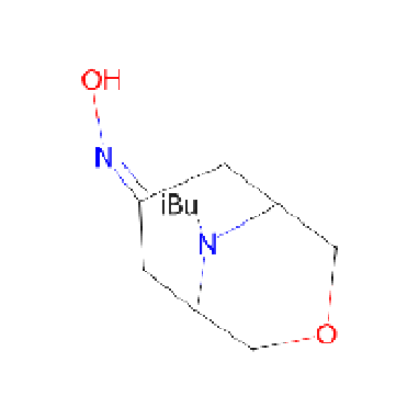 CCC(C)N1C2COCC1CC(=NO)C2